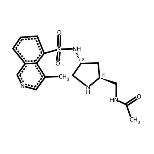 CC(=O)NC[C@@H]1C[C@@H](NS(=O)(=O)c2cccc3cncc(C)c23)CN1